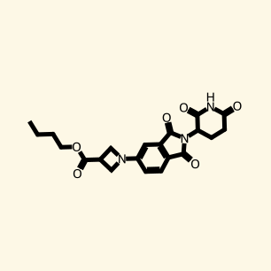 CCCCOC(=O)C1CN(c2ccc3c(c2)C(=O)N(C2CCC(=O)NC2=O)C3=O)C1